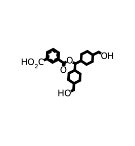 O=C(O)c1cccc(C(=O)OC(C2CCC(CO)CC2)C2CCC(CO)CC2)c1